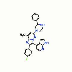 Cc1cc(N2CCNC(c3ccccc3)C2)nn2c(-c3ccnc4[nH]ccc34)c(-c3ccc(F)cc3)nc12